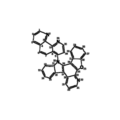 c1cnc2c(c1)ccc1c(-n3c4ccccc4c4c5cccnc5c5oc6ccccc6c5c43)ccnc12